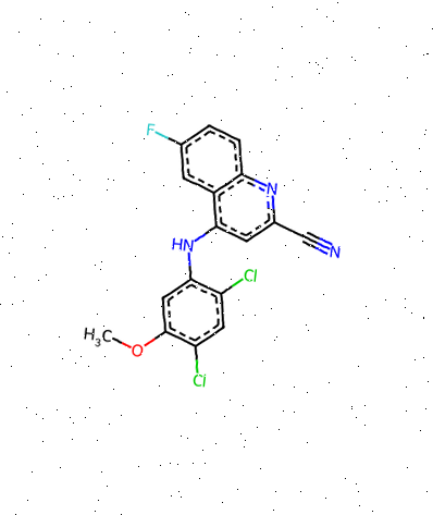 COc1cc(Nc2cc(C#N)nc3ccc(F)cc23)c(Cl)cc1Cl